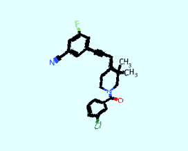 CC1(C)CN(C(=O)c2cccc(Cl)c2)CC/C1=C\C#Cc1cc(F)cc(C#N)c1